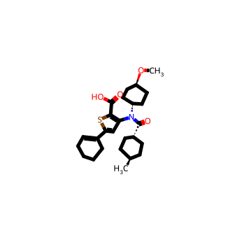 CO[C@H]1CC[C@H](N(c2cc(C3=CCCCC3)sc2C(=O)O)C(=O)[C@H]2CC[C@H](C)CC2)CC1